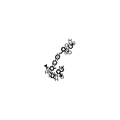 Cc1ccc2c(P(C)(C)=O)c(Nc3nc(Nc4cc(C)c(N5CCC(N6CCN(CCc7cccc8c7n(C)c(=O)n8C7CCC(=O)NC7=O)CC6)CC5)cc4OC4CC4)ncc3C)ccc2n1